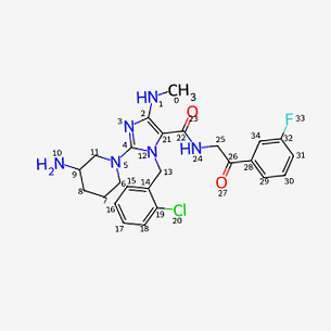 CNc1nc(N2CCCC(N)C2)n(Cc2ccccc2Cl)c1C(=O)NCC(=O)c1cccc(F)c1